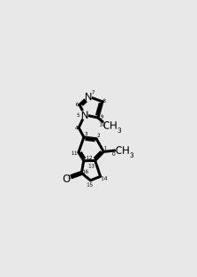 Cc1cc(Cn2cncc2C)cc2c1CCC2=O